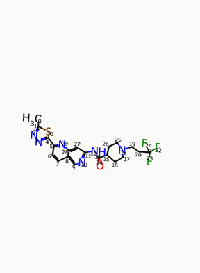 Cc1nnc(-c2ccc3cnc(NC(=O)C4CCN(CCC(F)(F)F)CC4)cc3n2)s1